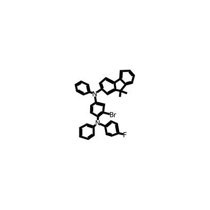 CC1(C)c2ccccc2-c2ccc(N(c3ccccc3)c3ccc(N(c4ccccc4)c4ccc(F)cc4)c(Br)c3)cc21